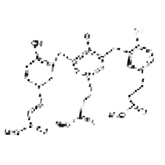 COC(=O)C=CC1C=CC(O)=C(Cc2cc(CCC(=O)OC)cc(Cc3cc(CCC(=O)OC)ccc3O)c2O)C1